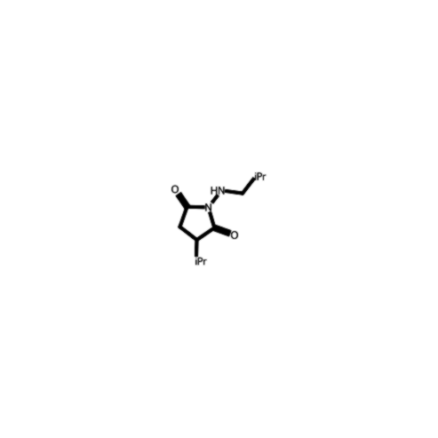 CC(C)CNN1C(=O)CC(C(C)C)C1=O